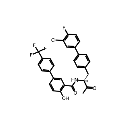 CC(=O)[C@@H](Cc1ccc(-c2ccc(F)c(Cl)c2)cc1)NC(=O)c1cc(-c2ccc(C(F)(F)F)cc2)ccc1O